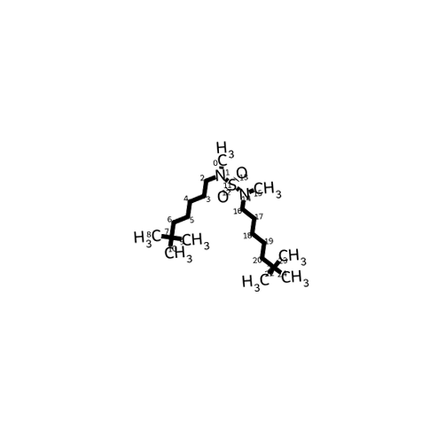 CN(CCCCCC(C)(C)C)S(=O)(=O)N(C)CCCCCC(C)(C)C